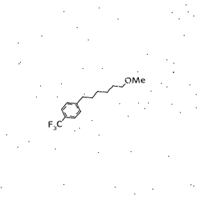 COCCCCCCc1ccc(C(F)(F)F)cc1